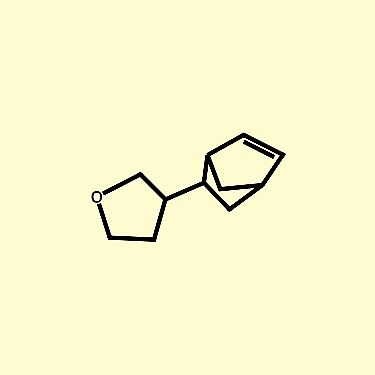 C1=CC2CC1CC2C1CCOC1